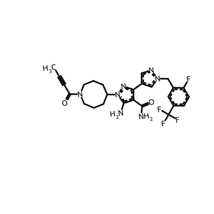 CC#CC(=O)N1CCCC(n2nc(-c3cnn(Cc4cc(C(F)(F)F)ccc4F)c3)c(C(N)=O)c2N)CCC1